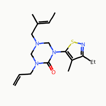 C=CCN1CN(CC(C)=CC)CN(c2snc(CC)c2C)C1=O